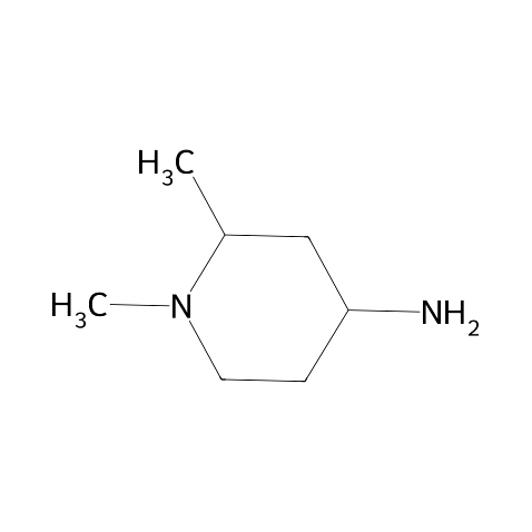 CC1CC(N)CCN1C